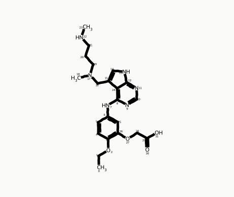 CCOc1ccc(Nc2ncnc3[nH]cc(CN(C)CCCNC)c23)cc1OCC(=O)O